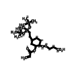 C=CC(=O)OC1CC(CC[Si](C)(O[Si](C)(C)C)O[Si](C)(C)C)CCC1OOCCC(=O)O